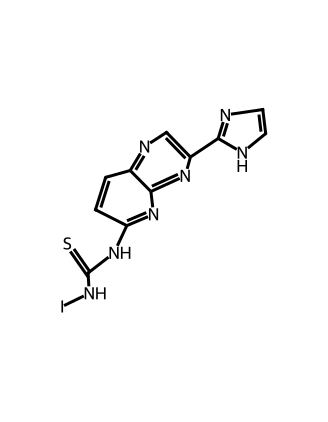 S=C(NI)Nc1ccc2ncc(-c3ncc[nH]3)nc2n1